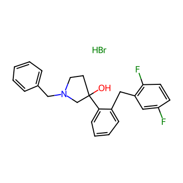 Br.OC1(c2ccccc2Cc2cc(F)ccc2F)CCN(Cc2ccccc2)C1